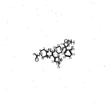 CC(=O)N1CCc2nc(N3CCN(C(CO)(CO)c4ccccc4F)CC3)c(-c3cnn(C)c3)nc2C1